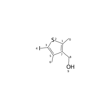 Cc1sc(I)c(C)c1CO